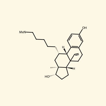 C=CC12CCc3cc(O)ccc3[C@H]1[C@@H](CCCCCNC)C[C@]1(C)[C@@H](O)CC[C@@H]21